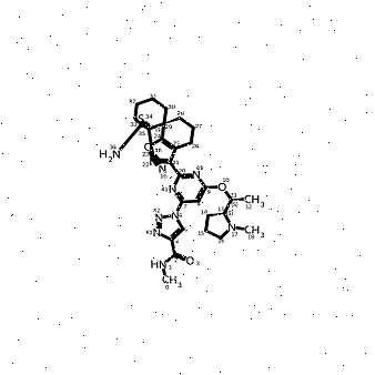 CNC(=O)c1cn(-c2cc(O[C@@H](C)[C@@H]3CCCN3C)nc(-c3noc4c3CCC[C@@]43CCCc4sc(N)c(C#N)c43)n2)nn1